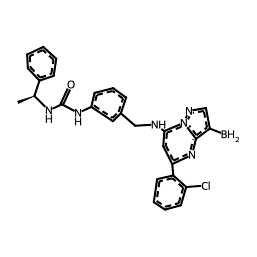 Bc1cnn2c(NCc3cccc(NC(=O)N[C@@H](C)c4ccccc4)c3)cc(-c3ccccc3Cl)nc12